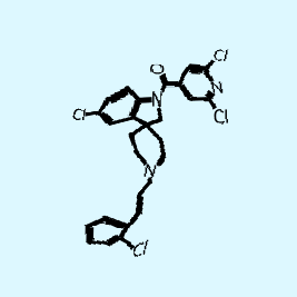 O=C(c1cc(Cl)nc(Cl)c1)N1CC2(CCN(C/C=C/c3ccccc3Cl)CC2)c2cc(Cl)ccc21